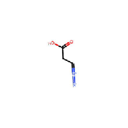 [N-]=[N+]=CCC(=O)O